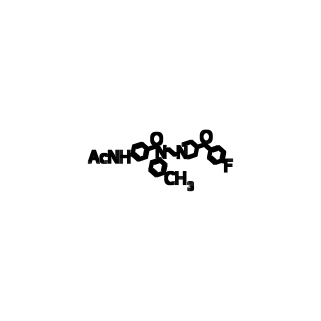 CC(=O)Nc1ccc(C(=O)N(CCN2CCC(C(=O)c3ccc(F)cc3)CC2)c2cccc(C)c2)cc1